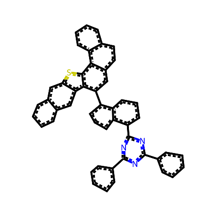 c1ccc(-c2nc(-c3ccccc3)nc(-c3cccc4c(-c5cc6ccc7ccccc7c6c6sc7cc8ccccc8cc7c56)cccc34)n2)cc1